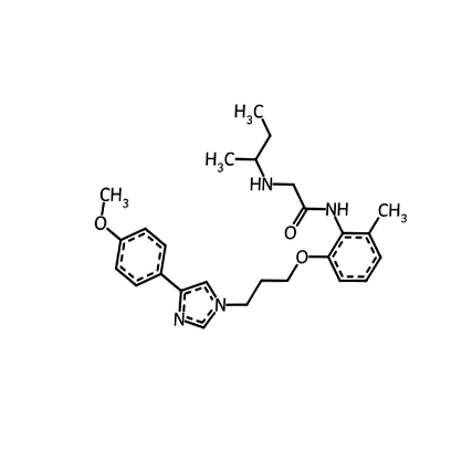 CCC(C)NCC(=O)Nc1c(C)cccc1OCCCn1cnc(-c2ccc(OC)cc2)c1